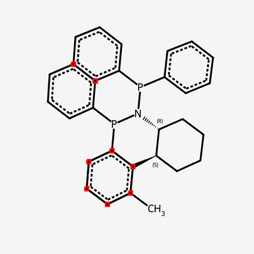 CC1CCCCC1[C@@H]1CCCC[C@H]1N(P(c1ccccc1)c1ccccc1)P(c1ccccc1)c1ccccc1